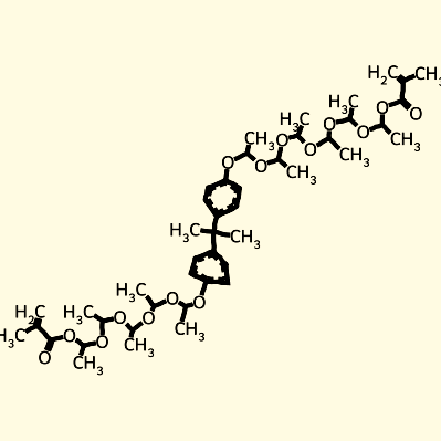 C=C(C)C(=O)OC(C)OC(C)OC(C)OC(C)OC(C)Oc1ccc(C(C)(C)c2ccc(OC(C)OC(C)OC(C)OC(C)OC(C)OC(C)OC(=O)C(=C)C)cc2)cc1